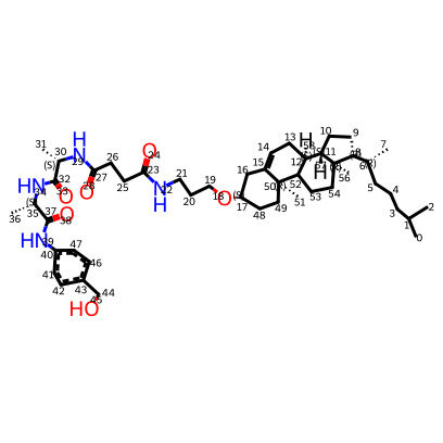 CC(C)CCC[C@@H](C)[C@H]1CC[C@H]2[C@@H]3CC=C4C[C@@H](OCCCNC(=O)CCC(=O)N[C@@H](C)C(=O)N[C@@H](C)C(=O)Nc5ccc(CO)cc5)CC[C@]4(C)C3CC[C@]12C